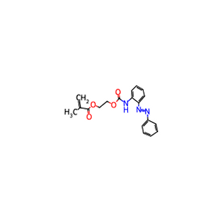 C=C(C)C(=O)OCCOC(=O)Nc1ccccc1N=Nc1ccccc1